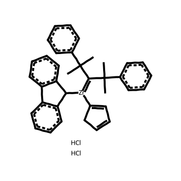 CC(C)([C](=[Zr]([C]1=CC=CC1)[CH]1c2ccccc2-c2ccccc21)C(C)(C)c1ccccc1)c1ccccc1.Cl.Cl